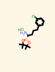 CC1(C)OB([C@@H](N)CCCc2cccc(Cl)c2)OC1(C)C.Cl